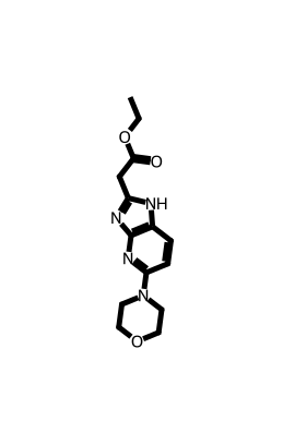 CCOC(=O)Cc1nc2nc(N3CCOCC3)ccc2[nH]1